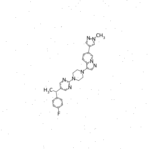 CC(c1ccc(F)cc1)c1cnc(N2CCN(c3cnn4cc(-c5cnn(C)c5)ccc34)CC2)nc1